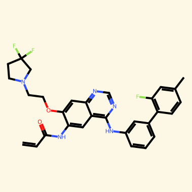 C=CC(=O)Nc1cc2c(Nc3cccc(-c4ccc(C)cc4F)c3)ncnc2cc1OCCN1CCC(F)(F)C1